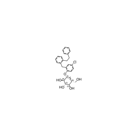 OC[C@H]1S[C@@H](Oc2ccc(Cl)cc2Cc2ccccc2CCc2ccccc2)[C@H](O)[C@@H](O)[C@@H]1O